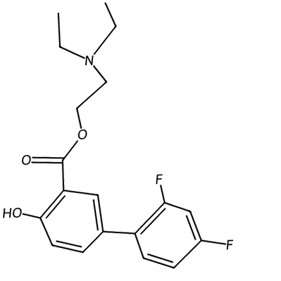 CCN(CC)CCOC(=O)c1cc(-c2ccc(F)cc2F)ccc1O